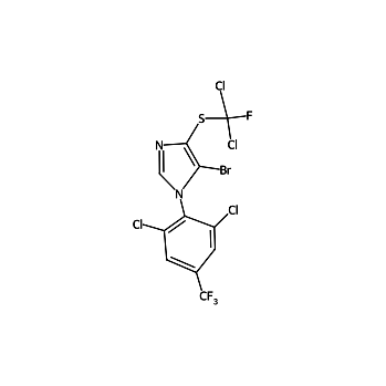 FC(Cl)(Cl)Sc1ncn(-c2c(Cl)cc(C(F)(F)F)cc2Cl)c1Br